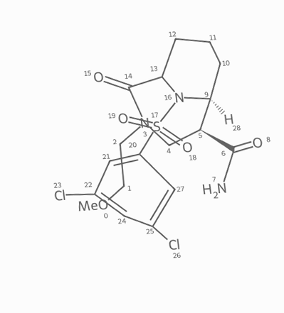 COCCN1C[C@H](C(N)=O)[C@@H]2CCCC(C1=O)N2S(=O)(=O)c1cc(Cl)cc(Cl)c1